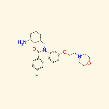 NC1CCCC(CN(C(=O)c2ccc(F)cc2)c2cccc(OCCN3CCOCC3)c2)C1